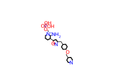 Nc1c(-c2cc(Cc3ccc(OCc4ccncc4)cc3)no2)ccc[n+]1COP(=O)(O)O